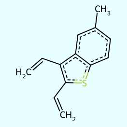 C=Cc1sc2ccc(C)cc2c1C=C